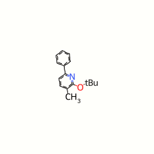 Cc1ccc(-c2ccccc2)nc1OC(C)(C)C